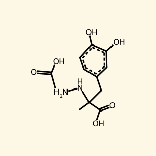 CC(=O)O.CC(Cc1ccc(O)c(O)c1)(NN)C(=O)O